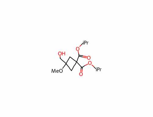 COC1(CO)CC(C(=O)OC(C)C)(C(=O)OC(C)C)C1